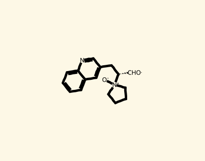 O=[C][C@@H](Cc1cnc2ccccc2c1)[N+]1([O-])CCCC1